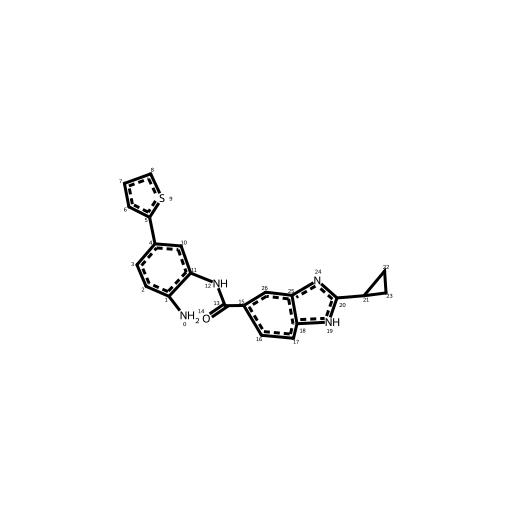 Nc1ccc(-c2cccs2)cc1NC(=O)c1ccc2[nH]c(C3CC3)nc2c1